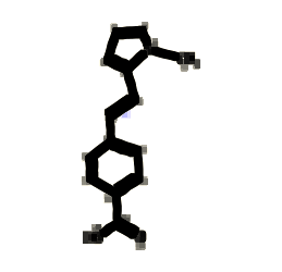 Cn1cccc1/C=C/c1ccc(C(=O)O)cc1